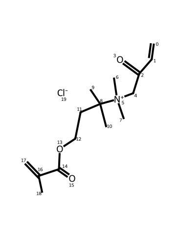 C=CC(=O)C[N+](C)(C)C(C)(C)CCOC(=O)C(=C)C.[Cl-]